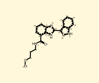 CCOCCCNC(=O)c1cccc2nc(-c3n[nH]c4ccccc34)[nH]c12